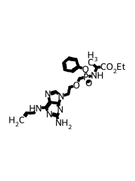 C=CCNc1nc(N)nc2c1ncn2CCOCP(=O)(NC(C)C(=O)OCC)Oc1ccccc1